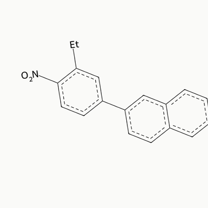 CCc1cc(-c2ccc3ccccc3c2)ccc1[N+](=O)[O-]